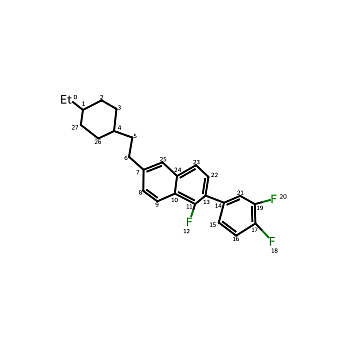 CCC1CCC(CCc2ccc3c(F)c(-c4ccc(F)c(F)c4)ccc3c2)CC1